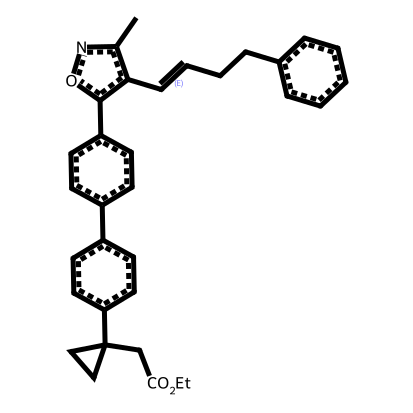 CCOC(=O)CC1(c2ccc(-c3ccc(-c4onc(C)c4/C=C/CCc4ccccc4)cc3)cc2)CC1